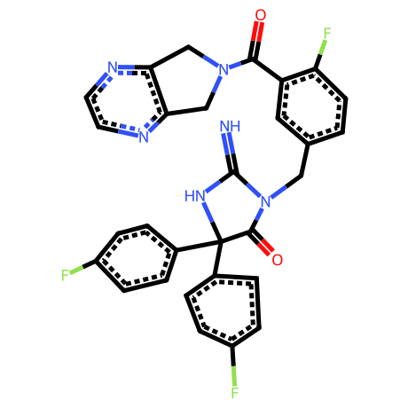 N=C1NC(c2ccc(F)cc2)(c2ccc(F)cc2)C(=O)N1Cc1ccc(F)c(C(=O)N2Cc3nccnc3C2)c1